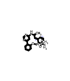 C=C(/C=C(\C=C/C)CS(N)(=O)=O)Nc1cc(-c2ccccc2OC(C)C)ncn1